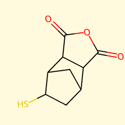 O=C1OC(=O)C2C3CC(CC3S)C12